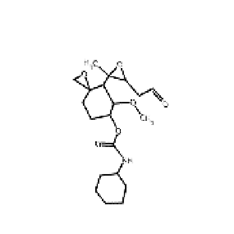 COC1C(OC(=O)NC2CCCCC2)CCC2(CO2)C1C1(C)OC1CC=O